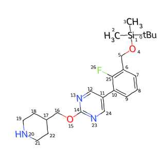 CC(C)(C)[Si](C)(C)OCc1cccc(-c2cnc(OCC3CCNCC3)nc2)c1F